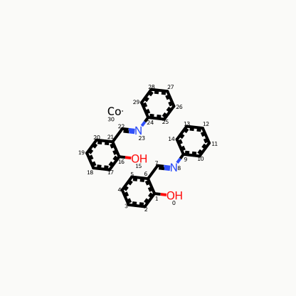 Oc1ccccc1C=Nc1ccccc1.Oc1ccccc1C=Nc1ccccc1.[Co]